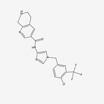 O=C(Nc1cn(Cc2ccc(Cl)c(C(F)(F)F)c2)cn1)c1cnc2c(c1)CCNC2